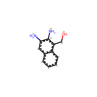 Nc1cc2ccccc2c(CO)c1N